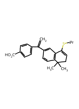 C=C(c1ccc(C(=O)O)cc1)c1ccc2c(c1)C(SC(C)C)=CCC2(C)C